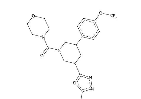 CC(C)c1nnc(C2CC(c3ccc(OC(F)(F)F)cc3)CN(C(=O)N3CCOCC3)C2)o1